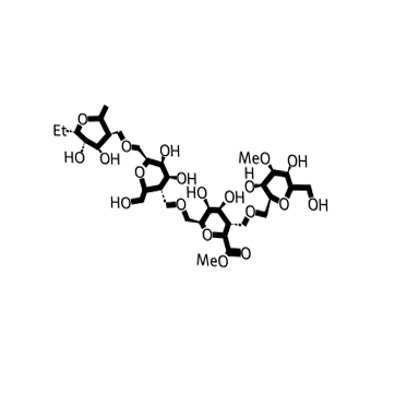 CC[C@@H]1OC(C)[C@H](COC[C@@H]2OC(CO)[C@@H](COC[C@@H]3OC(C(=O)OC)[C@@H](COC[C@@H]4OC(CO)[C@@H](O)[C@H](OC)[C@@H]4O)[C@H](O)[C@@H]3O)[C@H](O)[C@@H]2O)[C@H](O)[C@@H]1O